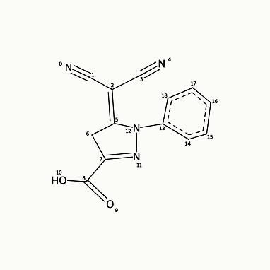 N#CC(C#N)=C1CC(C(=O)O)=NN1c1ccccc1